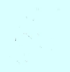 CC(C)[C@@H](C)[C@@]1(C)CC[C@]2(C)[C@H]3CC[C@@H]4[C@@]5(COC[C@@]4(C)[C@@H](OC[C@](C)(N)C(C)(C)C)[C@H](n4ncnc4[C+]4C=CCN(C)C4)C5)C3=CC[C@@]2(C)[C@@H]1C(=O)O.O=C([O-])C(F)(F)F